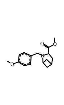 COC(=O)C1CC2CC(C2)N1Cc1ccc(OC)cc1